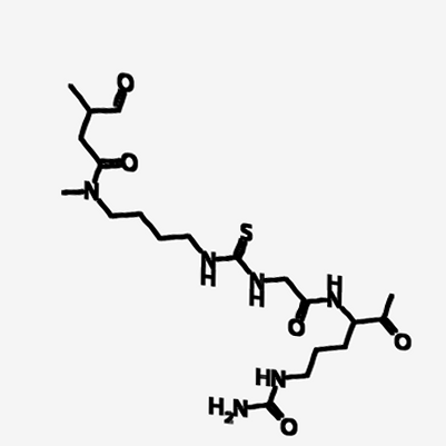 CC(=O)C(CCCNC(N)=O)NC(=O)CNC(=S)NCCCCN(C)C(=O)CC(C)C=O